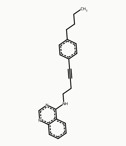 CCCCc1ccc(C#CCCNc2ncnc3ccccc23)cc1